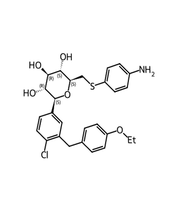 CCOc1ccc(Cc2cc([C@@H]3O[C@H](CSc4ccc(N)cc4)[C@@H](O)[C@H](O)[C@H]3O)ccc2Cl)cc1